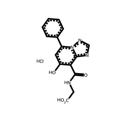 Cl.O=C(O)CNC(=O)c1c(O)cc(-c2ccccc2)n2ncnc12